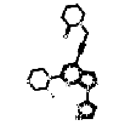 C[C@@H]1COCCN1c1cc(C#CCN2CCCCC2=O)c2cnn(-c3cc[nH]n3)c2n1